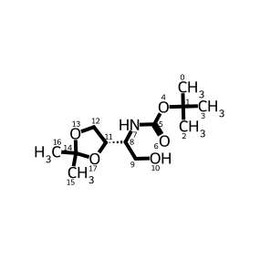 CC(C)(C)OC(=O)NC(CO)[C@H]1COC(C)(C)O1